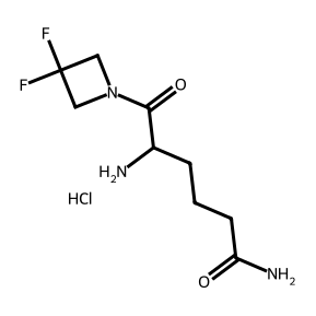 Cl.NC(=O)CCCC(N)C(=O)N1CC(F)(F)C1